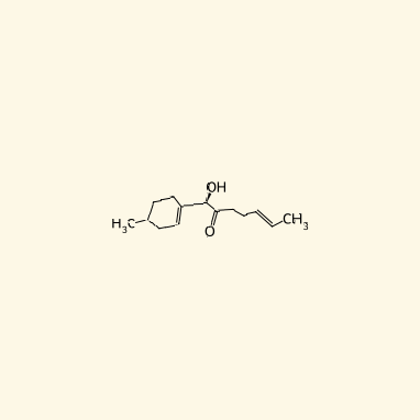 C/C=C/CCC(=O)[C@H](O)C1=CCC(C)CC1